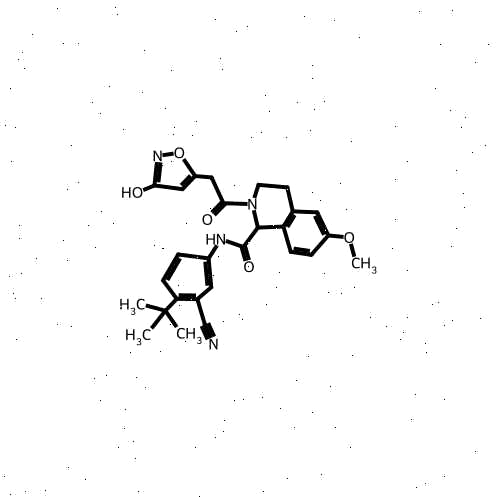 COc1ccc2c(c1)CCN(C(=O)Cc1cc(O)no1)C2C(=O)Nc1ccc(C(C)(C)C)c(C#N)c1